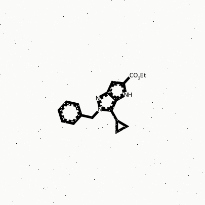 CCOC(=O)c1cc2nn(Cc3ccccc3)c(C3CC3)c2[nH]1